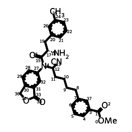 COC(=O)c1cccc(CCCCC(C#N)N(C(=O)[C@@H](N)Cc2cccc(C)c2)c2ccc3c(c2)C(=O)OC3)c1